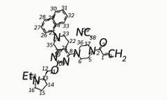 C=CC(=O)N1CCN(c2nc(OC[C@H]3CCCN3CC)nc3c2CCN(c2cccc4ccccc24)C3)C[C@@H]1CC#N